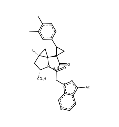 CC(=O)c1nn(CC(=O)N2[C@H](C(=O)O)C[C@H]3C[C@@]32C2(C(N)=O)CC2c2ccc(C)c(C)c2)c2cnccc12